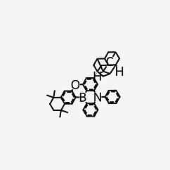 CC1(C)CCC(C)(C)c2cc3c(cc21)Oc1cc([C@]24CC5C6CC7C[C@@H]5C(C2)[C@@H](C7)C6C4)cc2c1B3c1ccccc1N2c1ccccc1